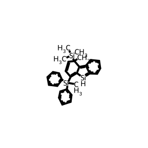 CC1([Si](C)(C)C)C=CC([Si](C)(c2ccccc2)c2ccccc2)=C2[SiH]=c3ccccc3=C21